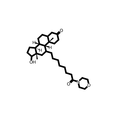 C[C@]12CCC(=O)CC1CC[C@@H]1[C@H]2C(CCCCCCCC(=O)N2CCOCC2)C[C@]2(C)C(O)CC[C@@H]12